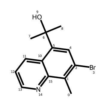 Cc1c(Br)cc(C(C)(C)O)c2cccnc12